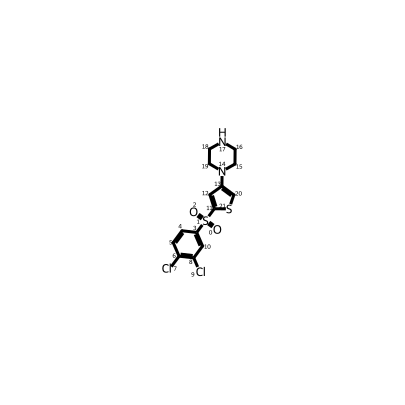 O=S(=O)(c1ccc(Cl)c(Cl)c1)c1cc(N2CCNCC2)cs1